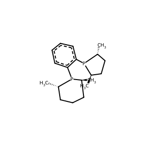 C[C@@H]1CC[C@@H](C)P1c1ccccc1P1[C@@H](C)CCC[C@@H]1C